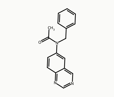 CC(=O)N(Cc1ccccc1)c1ccc2ncncc2c1